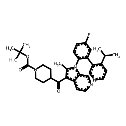 Cc1c(C(=O)C2CCN(C(=O)OC(C)(C)C)CC2)c2ccncc2n1-c1ccc(F)cc1-c1cnccc1C(C)C